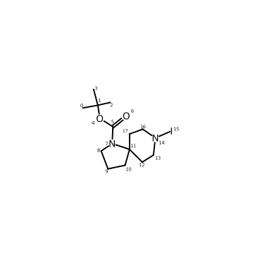 CC(C)(C)OC(=O)N1CCCC12CCN(I)CC2